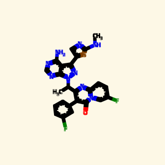 CNc1ncc(-c2nn(C(C)c3nc4ccc(F)cn4c(=O)c3-c3cccc(F)c3)c3ncnc(N)c23)s1